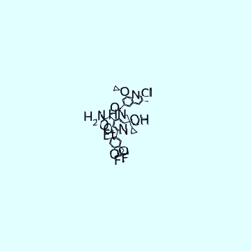 CCOc1c(CC(N)=O)cc([C@@](O)(CNC(=O)c2cc(OC3CC3)c3nc(Cl)c(C)cc3c2)C2CC2)nc1-c1ccc2c(c1)OC(F)(F)O2